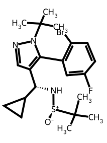 CC(C)(C)n1ncc([C@H](N[S@+]([O-])C(C)(C)C)C2CC2)c1-c1cc(F)ccc1Br